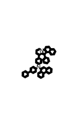 c1ccc(-c2ccc(N(c3ccc(-c4cccn5c4c(-c4ccccc4)c4c6ccccc6ccc45)cc3)c3cc4ccccc4c4ccccc34)cc2)cc1